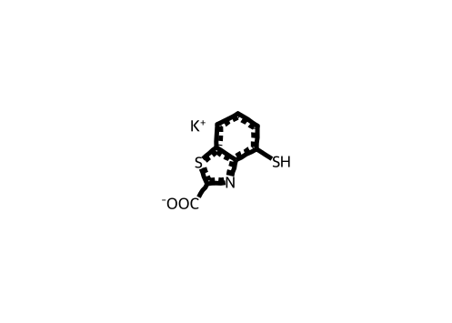 O=C([O-])c1nc2c(S)cccc2s1.[K+]